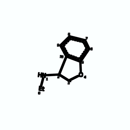 CCNC1[C]Oc2ccccc21